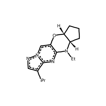 CCN1c2nc3c(C(C)C)cnn3cc2O[C@@H]2CCC[C@@H]21